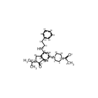 CC(=O)N1CCN(c2nc(NCCc3ccccc3)c3c(n2)C(=O)N(C(C)C)C3)CC1